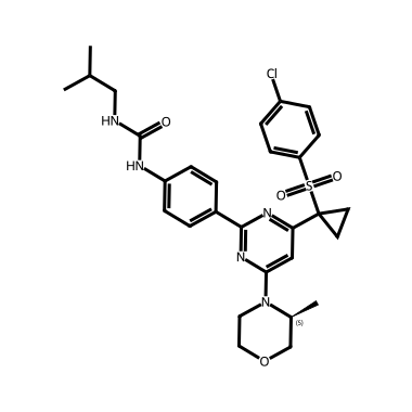 CC(C)CNC(=O)Nc1ccc(-c2nc(N3CCOC[C@@H]3C)cc(C3(S(=O)(=O)c4ccc(Cl)cc4)CC3)n2)cc1